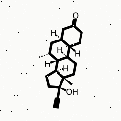 C#C[C@]1(O)CC[C@H]2[C@H]3[C@H](CC[C@@]21C)[C@H]1CCC(=O)C[C@@H]1C[C@H]3C